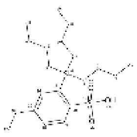 CCCC[Si](CCCC)(CCCC)c1cc(CC)ccc1S(=O)(=O)O